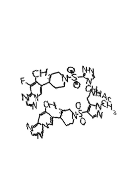 CC(=O)NCc1c(S(=O)(=O)N2CCC(c3cn4ncnc4cc3C)CC2)cnn1C.Cc1c(C2CCN(S(=O)(=O)c3nncn3C)CC2)cn2ncnc2c1F